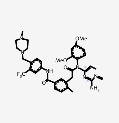 C=N/C(N)=N\C(=C/C)N(C(=O)Cc1cc(C(=O)Nc2ccc(CN3CCN(C)CC3)c(C(F)(F)F)c2)ccc1C)c1ccc(OC)cc1OC